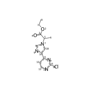 CCOC(=O)C(C)n1cnc(-c2ccnc(Cl)n2)c1